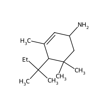 CCC(C)(C)C1C(C)=CC(N)CC1(C)C